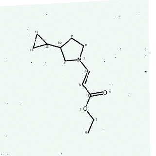 CCOC(=O)C=CN1CCC(C2CC2)C1